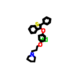 Cl.c1ccc(-c2sc3ccccc3c2Oc2ccc(OCCCN3CCCCC3)cc2)cc1